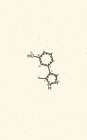 Cc1[nH]ncc1-c1cccc(O)c1